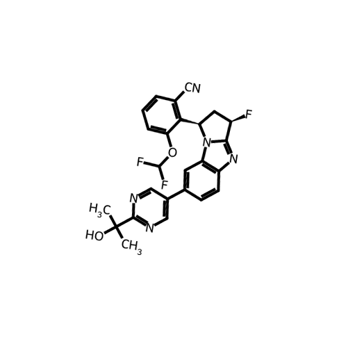 CC(C)(O)c1ncc(-c2ccc3nc4n(c3c2)[C@@H](c2c(C#N)cccc2OC(F)F)C[C@H]4F)cn1